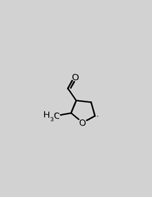 CC1O[CH]CC1C=O